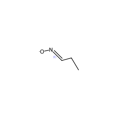 CC/C=N/[O]